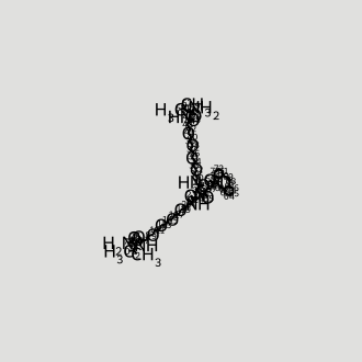 CC(C)[C@H](NC(=O)CCOCCOCCOCCOCCNC(=O)CN(CC(=O)NCCOCCOCCOCCOCCC(=O)N[C@H](C(N)=O)C(C)C)C(=O)CCC(=O)N1Cc2ccccc2C#Cc2ccccc21)C(N)=O